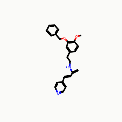 C=C(/C=C/c1ccncc1)NCCc1ccc(OC)c(OCc2ccccc2)c1